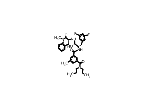 CCCN(CCC)C(=O)c1cc(C)cc(C(=O)N[C@@H](Cc2cc(F)cc(F)c2)[C@H](O)CN[C@@H](Cc2ccccc2)C(=O)NC)c1